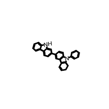 C1=Cc2c(n(-c3ccccc3)c3ccc(-c4ccc5c(c4)[nH]c4ccccc45)cc23)CC1